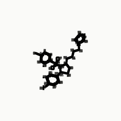 Cc1ccc(S(=O)(=O)N2[C@@H](CCCCn3ccnc3)CC[C@H]2c2ccc(F)cc2)cc1